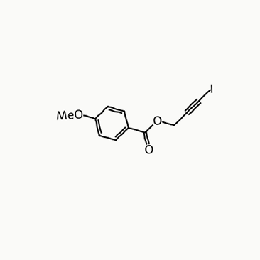 COc1ccc(C(=O)OCC#CI)cc1